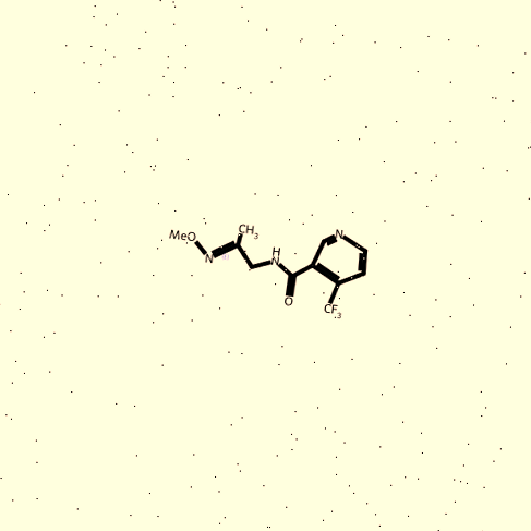 CO/N=C(\C)CNC(=O)c1cnccc1C(F)(F)F